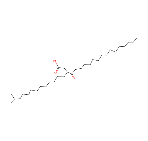 CCCCCCCCCCCCCCCC(=O)C(CCCCCCCCCCCC(C)C)CC(=O)O